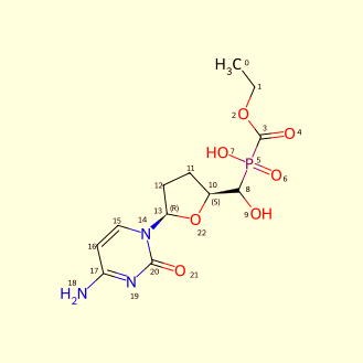 CCOC(=O)P(=O)(O)C(O)[C@@H]1CC[C@H](n2ccc(N)nc2=O)O1